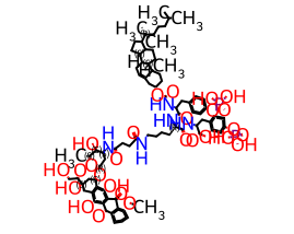 COc1cccc2c1C(=O)c1c(O)c3c(c(O)c1C2=O)C[C@@](O)(C(=O)CO)C[C@@H]3O[C@H]1C[C@H](NC(=O)CCC(=O)NCCCC[C@@H](NC(=O)C(Cc2ccc(OP(=O)(O)O)cc2)NC(=O)OC2CCC3(C)C(=CCC4[C@@H]3CCC3(C)C([C@H](C)CCCC(C)C)CC[C@@H]43)C2)C(=O)NC(Cc2ccc(OP(=O)(O)O)cc2)C(=O)O)[C@H](O)[C@H](C)O1